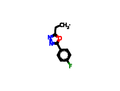 [CH2]Cc1nnc(-c2ccc(F)cc2)o1